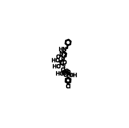 O=c1nc(NCC2CCCCC2)ccn1[C@@H]1O[C@H](COP(=O)(O)OP(=O)(O)c2ccc(Cl)cc2)C(O)[C@@H]1O